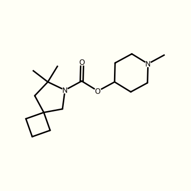 CN1CCC(OC(=O)N2CC3(CCC3)CC2(C)C)CC1